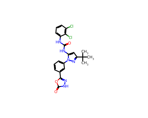 CC(C)(C)c1cc(NC(=O)Nc2cccc(Cl)c2Cl)n(-c2cccc(-c3n[nH]c(=O)o3)c2)n1